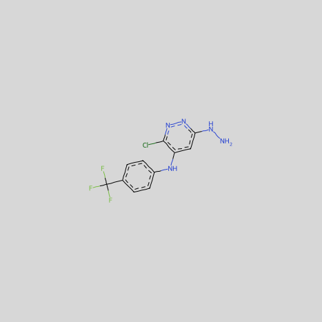 NNc1cc(Nc2ccc(C(F)(F)F)cc2)c(Cl)nn1